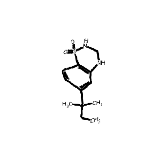 CCC(C)(C)c1ccc2c(c1)NCNS2(=O)=O